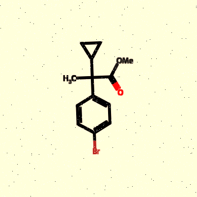 COC(=O)C(C)(c1ccc(Br)cc1)C1CC1